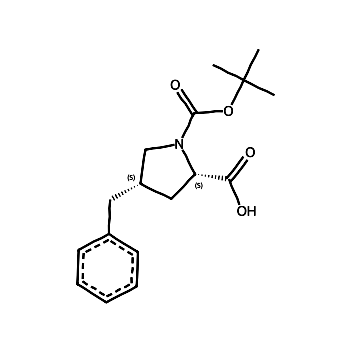 CC(C)(C)OC(=O)N1C[C@@H](Cc2ccccc2)C[C@H]1C(=O)O